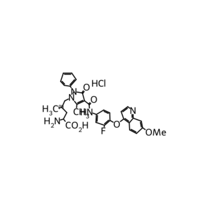 COc1ccc2c(Oc3ccc(NC(=O)c4c(C)n(C[C@H](C)CC(N)C(=O)O)n(-c5ccccc5)c4=O)cc3F)ccnc2c1.Cl